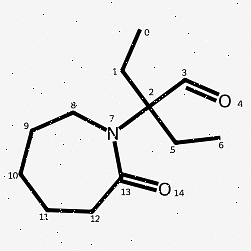 CCC(C=O)(CC)N1CCCCCC1=O